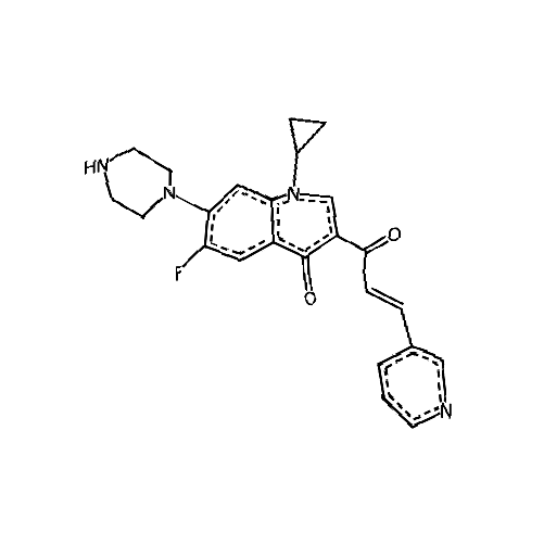 O=C(C=Cc1cccnc1)c1cn(C2CC2)c2cc(N3CCNCC3)c(F)cc2c1=O